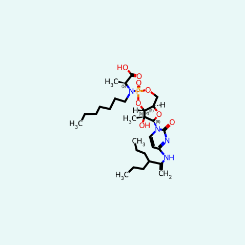 C=C(Nc1ccn([C@@H]2O[C@@H]3COP(=O)(N(CCCCCCC)[C@@H](C)C(=O)O)O[C@H]3[C@@]2(C)O)c(=O)n1)C(CCC)CCC